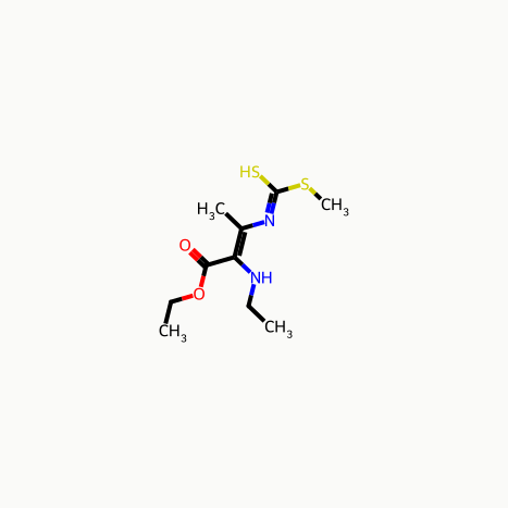 CCN/C(C(=O)OCC)=C(C)\N=C(/S)SC